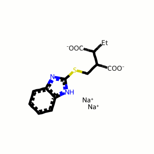 CCC(C(=O)[O-])C(CSc1nc2ccccc2[nH]1)C(=O)[O-].[Na+].[Na+]